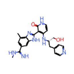 CNC(=N)c1cc(C)c2nc(-c3c(N[C@H](CO)Cc4ccncc4)cc[nH]c3=O)[nH]c2c1